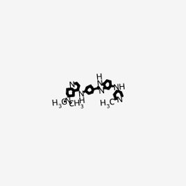 Cc1cc(Nc2ccc3[nH]c(-c4ccc(Nc5ccnc6ccc(N(C)C)cc56)cc4)nc3c2)ccn1